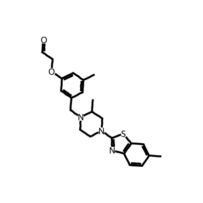 Cc1cc(CN2CCN(c3nc4ccc(C)cc4s3)CC2C)cc(OCC=O)c1